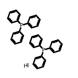 I.c1ccc(P(c2ccccc2)c2ccccc2)cc1.c1ccc(P(c2ccccc2)c2ccccc2)cc1